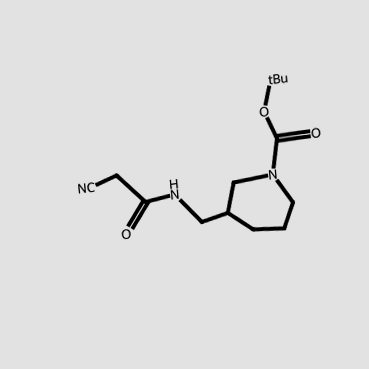 CC(C)(C)OC(=O)N1CCCC(CNC(=O)CC#N)C1